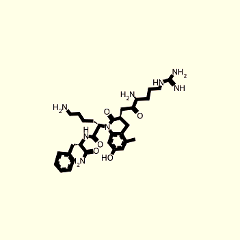 Cc1cc(O)cc2c1C[C@H](CC(=O)[C@H](N)CCCNC(=N)N)C(=O)N2[C@@H](CCCCN)C(=O)N[C@@H](Cc1ccccc1)C(N)=O